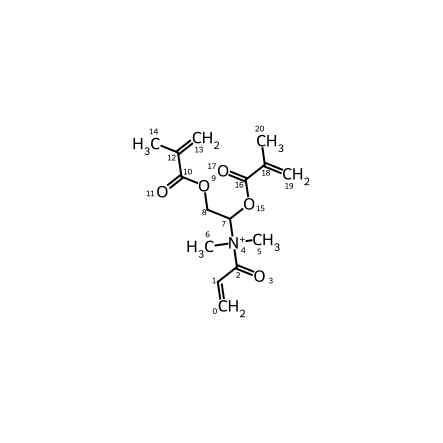 C=CC(=O)[N+](C)(C)C(COC(=O)C(=C)C)OC(=O)C(=C)C